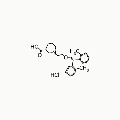 Cc1ccccc1C(=COCCN1CCC[C@@H](C(=O)O)C1)c1ccccc1C.Cl